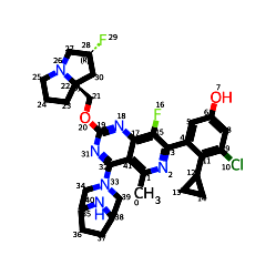 Cc1nc(-c2cc(O)cc(Cl)c2C2CC2)c(F)c2nc(OC[C@@]34CCCN3C[C@H](F)C4)nc(N3CC4CCC(C3)N4)c12